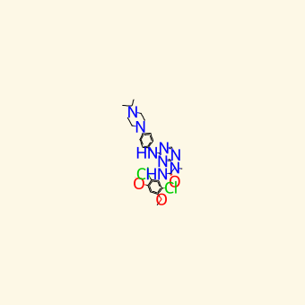 COc1cc(OC)c(Cl)c(NC(=O)N(C)c2ncnc(Nc3ccc(N4CCN(C(C)C)CC4)cc3)n2)c1Cl